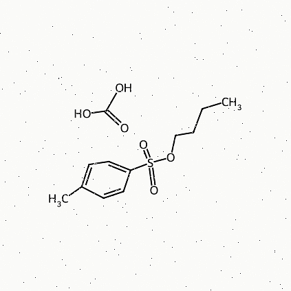 CCCCOS(=O)(=O)c1ccc(C)cc1.O=C(O)O